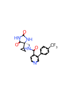 O=C1NC(=O)[C@](CNC(=O)c2ccncc2-c2ccc(C(F)(F)F)cc2)(C2CC2)N1